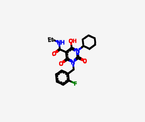 CCNC(=O)c1c(O)n(C2CCCCC2)c(=O)n(Cc2ccccc2F)c1=O